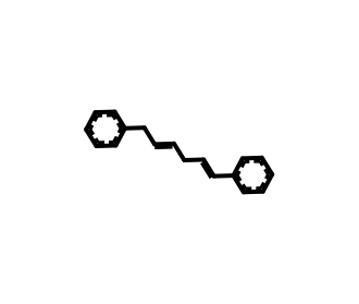 C(=CCc1ccccc1)CC=Cc1ccccc1